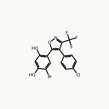 Oc1cc(O)c(-c2onc(C(F)(F)F)c2-c2ccc(Cl)cc2)cc1Br